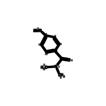 COc1[c]cc(C(=O)N(C)C)cc1